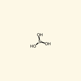 O[Si](O)O